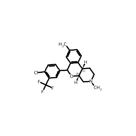 Cc1ccc2c(c1)C(c1ccc(Cl)c(C(F)(F)F)c1)O[C@H]1CN(C)CC[C@@H]21